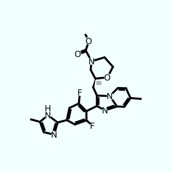 COC(=O)N1CCO[C@@H](Cc2c(-c3c(F)cc(-c4ncc(C)[nH]4)cc3F)nc3cc(C)ccn23)C1